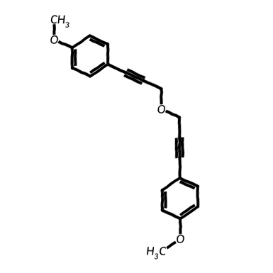 COc1ccc(C#CCOCC#Cc2ccc(OC)cc2)cc1